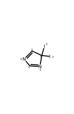 IC1(I)C=NC=N1